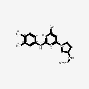 CCCCCNC1CCN(c2cc(CCC)nc(Nc3ccc(C)c(C#N)c3)n2)C1